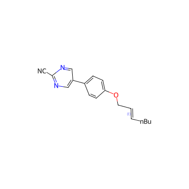 CCCC/C=C/COc1ccc(-c2cnc(C#N)nc2)cc1